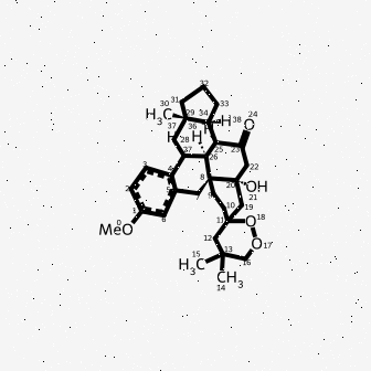 COc1ccc2c(c1)C[C@]13CCC4(CC(C)(C)COO4)C[C@]1(O)CC(=O)[C@@H]1[C@@H]3[C@@H]2C[C@]2(C)CCC[C@H]12